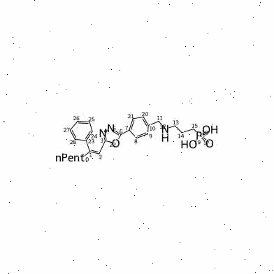 CCCCC/C(=C/c1nnc(-c2ccc(CNCCCP(=O)(O)O)cc2)o1)c1ccccc1